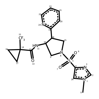 Cn1cnc(S(=O)(=O)N2CC(NC(=O)C3(C(F)(F)F)CC3)C(c3ccccn3)C2)c1